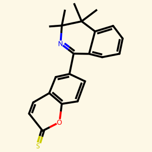 CC1(C)N=C(c2ccc3oc(=S)ccc3c2)c2ccccc2C1(C)C